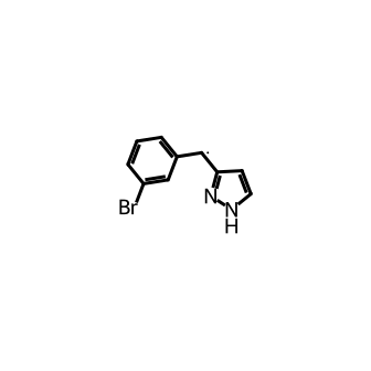 Brc1cccc([CH]c2cc[nH]n2)c1